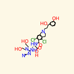 N#C/N=C(/NC[C@H](NC(=O)c1c(Cl)cc2c(c1Cl)CCN(CCC(O)c1cccc(O)c1)C2)C(=O)O)N(CCO)CCO